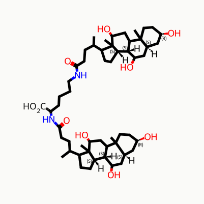 CC(CCC(=O)NCCCCC(NC(=O)CCC(C)C1CC[C@H]2[C@H]3C(O)C[C@@H]4C[C@H](O)CCC4(C)C3CC(O)C12C)C(=O)O)C1CC[C@H]2[C@H]3C(O)C[C@@H]4C[C@H](O)CCC4(C)C3CC(O)C12C